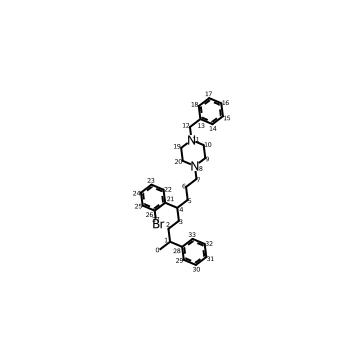 CC(CCC(CCCN1CCN(Cc2ccccc2)CC1)c1ccccc1Br)c1ccccc1